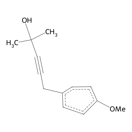 COc1ccc(CC#CC(C)(C)O)cc1